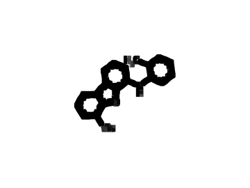 Cc1ccccc1Nc1cccc2c1oc1c(C(C)(C)C)cccc12